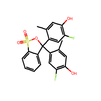 Cc1cc(O)c(F)cc1C1(c2cc(F)c(O)cc2C)OS(=O)(=O)c2ccccc21